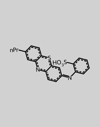 CCCc1ccc2sc3c/c(=N\c4ccccc4S(=O)(=O)O)ccc-3nc2c1